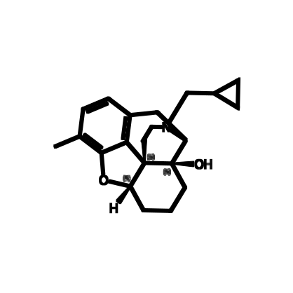 Cc1ccc2c3c1O[C@H]1CCC[C@@]4(O)C(C2)N(CC2CC2)CC[C@]314